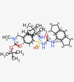 CN(Cc1ccc([SH](=O)(NC(=O)Nc2c3c(cc4c2CCC4)CCC3)N[Si](C)(C)C(C)(C)C)cc1)C(=O)OC(C)(C)C